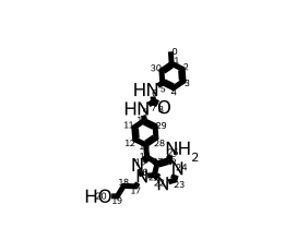 Cc1cccc(NC(=O)Nc2ccc(-c3nn(CCCO)c4ncnc(N)c34)cc2)c1